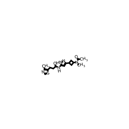 CC(=O)N(C)C1CC(c2cc(NC(=O)CCc3scnc3C)[nH]n2)C1